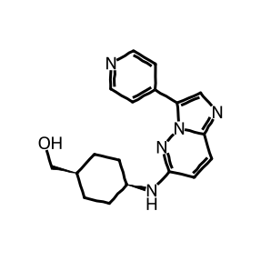 OC[C@H]1CC[C@@H](Nc2ccc3ncc(-c4ccncc4)n3n2)CC1